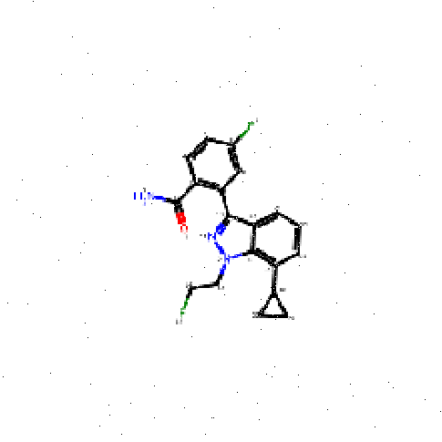 NC(=O)c1ccc(F)cc1-c1nn(CCF)c2c(C3CC3)cccc12